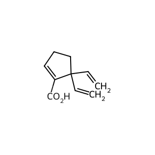 C=CC1(C=C)CCC=C1C(=O)O